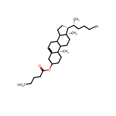 CC(C)CCC[C@@H](C)[C@H]1CCC2C3CC=C4CC(OC(=O)CCCC(=O)O)CC[C@]4(C)C3CC[C@@]21C